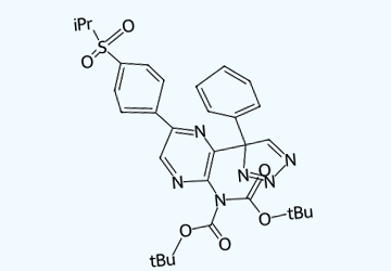 CC(C)S(=O)(=O)c1ccc(-c2cnc(N(C(=O)OC(C)(C)C)C(=O)OC(C)(C)C)c(C3(c4ccccc4)C=NN=N3)n2)cc1